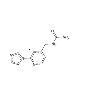 NC(=O)NCc1ccnc(-n2ccnc2)c1